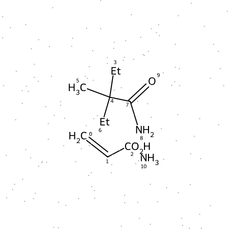 C=CC(=O)O.CCC(C)(CC)C(N)=O.N